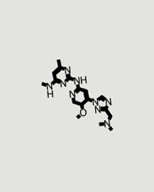 CNc1cc(C)nc(NC2=NCC(OC)C(n3cnc(CN(C)C)n3)=C2)n1